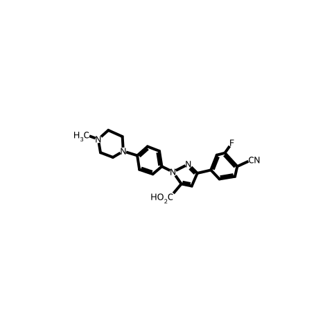 CN1CCN(c2ccc(-n3nc(-c4ccc(C#N)c(F)c4)cc3C(=O)O)cc2)CC1